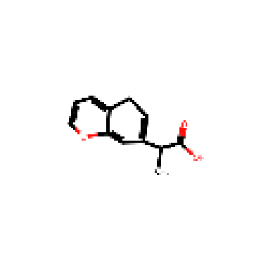 CC(C(=O)O)C1=CCC2=CC=COC2=C1